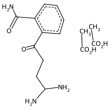 CC(=O)O.CC(=O)O.NC(=O)c1ccccc1C(=O)CCC(N)N